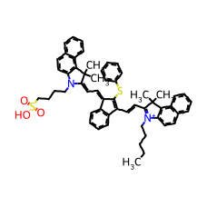 CCCCC[N+]1=C(/C=C/C2=C(Sc3ccccc3)C(=C/C=C3/N(CCCCS(=O)(=O)O)c4ccc5ccccc5c4C3(C)C)/c3ccccc32)C(C)(C)c2c1ccc1ccccc21